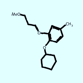 COCCCOc1cc(C)ccc1OC1CCCCC1